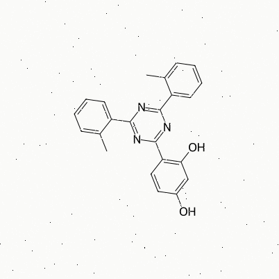 Cc1ccccc1-c1nc(-c2ccccc2C)nc(-c2ccc(O)cc2O)n1